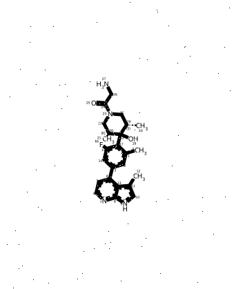 Cc1cc(-c2ccnc3[nH]cc(C)c23)cc(F)c1C1(O)[C@H](C)CN(C(=O)CN)C[C@@H]1C